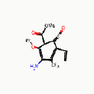 C=CC1=C(C(F)(F)F)C(N)=C(OC(C)C)C(C(=O)OC)C1=C=O